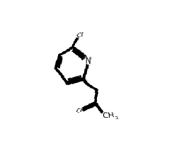 CC(=O)Cc1cccc(Cl)n1